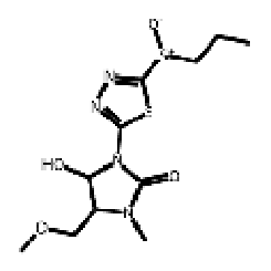 CCC[S+]([O-])c1nnc(N2C(=O)N(C)C(COC)C2O)s1